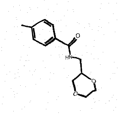 Cc1ccc(C(=O)NCC2COCCO2)cc1